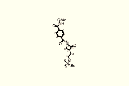 CONC(=O)c1ccc(C(=O)SN2C[C@H](CCO[Si](C)(C)C(C)(C)C)C2=O)cc1